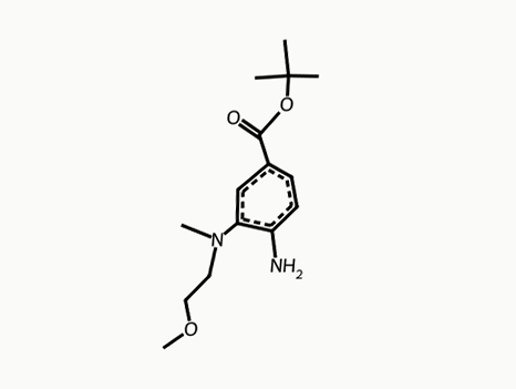 COCCN(C)c1cc(C(=O)OC(C)(C)C)ccc1N